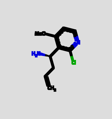 C=CC[C@H](N)c1c(OC)ccnc1Cl